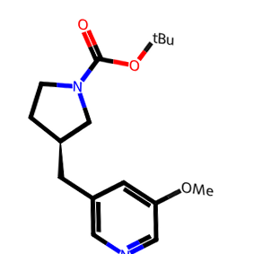 COc1cncc(C[C@H]2CCN(C(=O)OC(C)(C)C)C2)c1